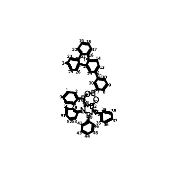 c1ccc(B2OB(c3cccc(-c4ccc5c6ccccc6c6ccccc6c5c4)c3)OB3N(c4ccccc4)B(c4ccccc4)N(c4ccccc4)N23)cc1